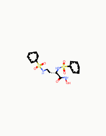 O=C(NO)[C@H](CCNS(=O)(=O)c1ccccc1)NS(=O)(=O)c1ccccc1